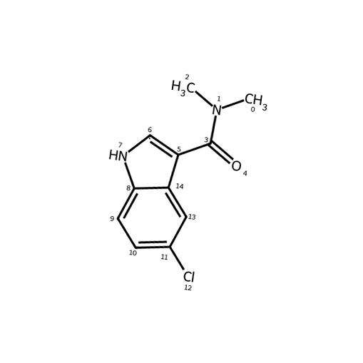 CN(C)C(=O)c1[c][nH]c2ccc(Cl)cc12